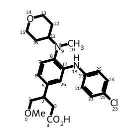 COCC(CC(=O)O)c1ccc(N(C)C2CCOCC2)c(Nc2ccc(Cl)cc2)c1